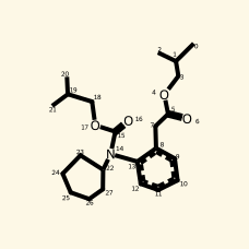 CC(C)COC(=O)Cc1ccccc1N(C(=O)OCC(C)C)C1CCCCC1